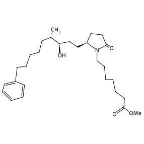 COC(=O)CCCCCCN1C(=O)CC[C@@H]1CC[C@@H](O)[C@@H](C)CCCCCc1ccccc1